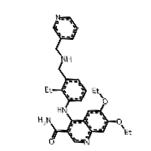 CCOc1cc2ncc(C(N)=O)c(Nc3cccc(CNCc4cccnc4)c3CC)c2cc1OCC